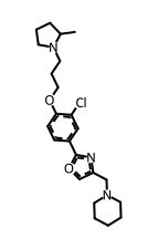 CC1CCCN1CCCOc1ccc(-c2nc(CN3CCCCC3)co2)cc1Cl